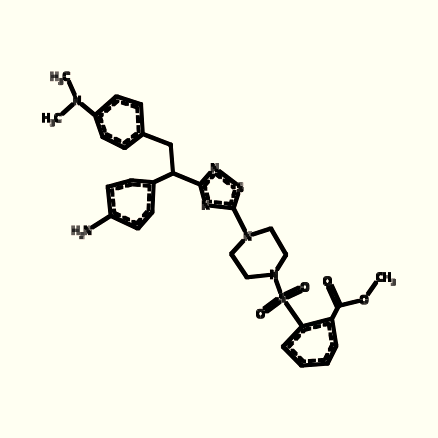 COC(=O)c1ccccc1S(=O)(=O)N1CCN(c2nc(C(Cc3ccc(N(C)C)cc3)c3ccc(N)cc3)ns2)CC1